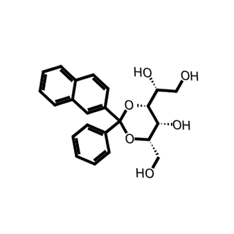 OC[C@@H](O)[C@H]1OC(c2ccccc2)(c2ccc3ccccc3c2)O[C@@H](CO)[C@H]1O